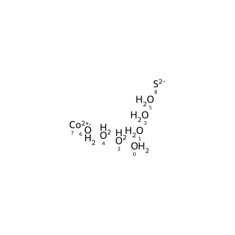 O.O.O.O.O.O.O.[Co+2].[S-2]